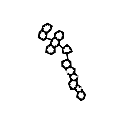 c1cc(-c2ccc3cc4c(cc3c2)sc2c4ccc3c4ccccc4sc32)cc(-c2c3ccccc3c(-c3cccc4ccccc34)c3ccccc23)c1